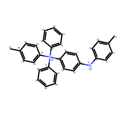 Cc1ccc(Nc2ccc([N+](c3ccccc3)(c3ccccc3)c3ccc(C)cc3)cc2)cc1